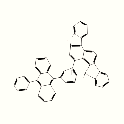 CC1(C)c2ccccc2-c2ccc3c(c(-c4cccc(-c5c6ccccc6c(-c6ccccc6)c6ccccc56)c4)cc4oc5ccccc5c43)c21